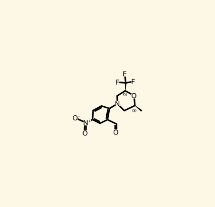 C[C@H]1CN(c2ccc([N+](=O)[O-])cc2C=O)C[C@@H](C(F)(F)F)O1